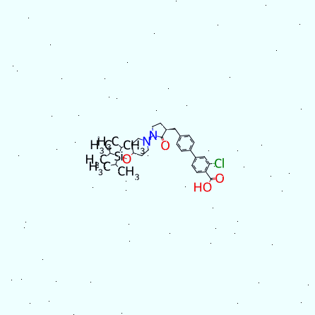 CC(C)[Si](OC1CCN(N2CC[C@@H](Cc3ccc(-c4ccc(C(=O)O)c(Cl)c4)cc3)C2=O)CC1)(C(C)C)C(C)C